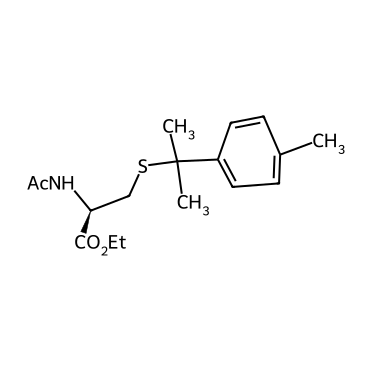 CCOC(=O)[C@H](CSC(C)(C)c1ccc(C)cc1)NC(C)=O